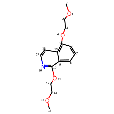 COCCOc1cccc2c(OCCOC)nccc12